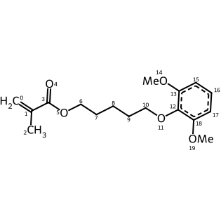 C=C(C)C(=O)OCCCCCOc1c(OC)cccc1OC